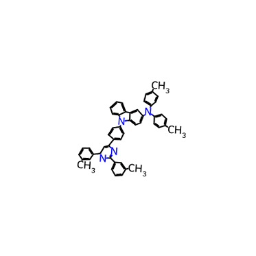 Cc1ccc(N(c2ccc(C)cc2)c2ccc3c(c2)c2ccccc2n3-c2ccc(-c3cc(-c4cccc(C)c4)nc(-c4cccc(C)c4)n3)cc2)cc1